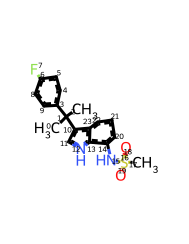 CC(C)(c1ccc(F)cc1)c1c[nH]c2c(NS(C)(=O)=O)cccc12